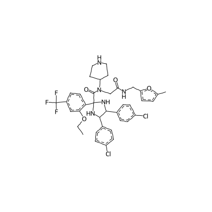 CCOc1cc(C(F)(F)F)ccc1C1(C(=O)N(CC(=O)NCc2ccc(C)o2)C2CCNCC2)NC(c2ccc(Cl)cc2)C(c2ccc(Cl)cc2)N1